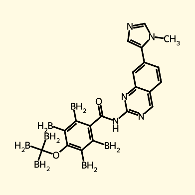 Bc1c(B)c(C(=O)Nc2ncc3ccc(-c4cncn4C)cc3n2)c(B)c(B)c1OC(B)(B)B